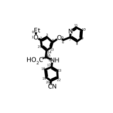 CCOc1cc(OCc2ccccn2)cc([C@@H](Nc2ccc(C#N)cc2)C(=O)O)c1